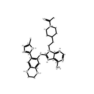 CC(=O)N1CCC(CCn2c(Sc3cc4c(cc3-c3ncc(C)o3)OCCO4)nc3c(N)ncnc32)CC1